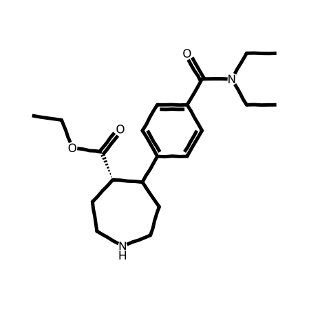 CCOC(=O)[C@H]1CCNCCC1c1ccc(C(=O)N(CC)CC)cc1